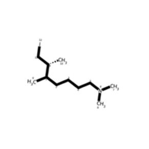 CC(CCCCN(C)C)[C@@H](C)CI